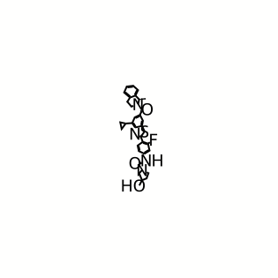 C[C@@H]1c2ccccc2CCN1C(=O)c1cc(C2CC2)c2nc(-c3ccc(NC(=O)N4CCC(O)C4)cc3F)sc2c1